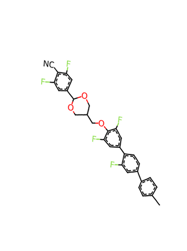 Cc1ccc(-c2ccc(-c3cc(F)c(OCC4COC(c5cc(F)c(C#N)c(F)c5)OC4)c(F)c3)c(F)c2)cc1